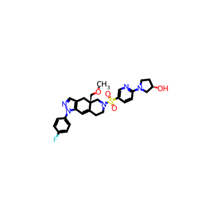 COC[C@]12Cc3cnn(-c4ccc(F)cc4)c3C=C1CCN(S(=O)(=O)c1ccc(N3CC[C@@H](O)C3)nc1)C2